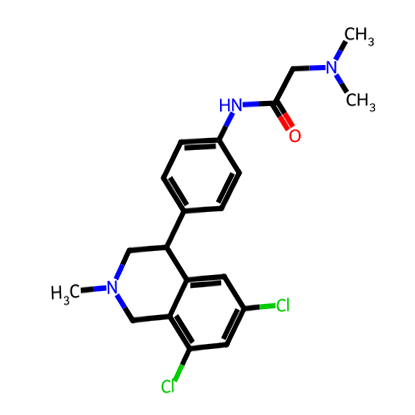 CN(C)CC(=O)Nc1ccc(C2CN(C)Cc3c(Cl)cc(Cl)cc32)cc1